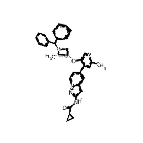 Cc1cc(-c2ccn3nc(NC(=O)C4CC4)cc3c2)c(O[C@H]2CN(C(c3ccccc3)c3ccccc3)[C@H]2C)cn1